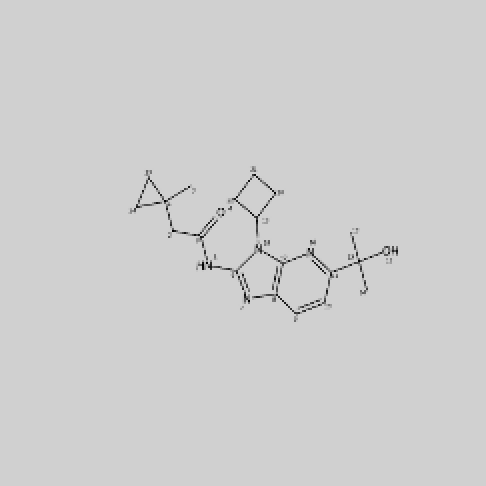 CC1(CC(=O)Nc2nc3ccc(C(C)(C)O)nc3n2C2CCC2)CC1